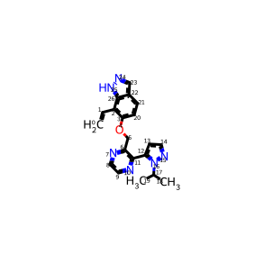 C=Cc1c(OCc2nccnc2-c2ccnn2C(C)C)ccc2cn[nH]c12